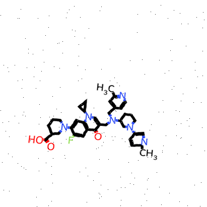 Cc1ccc(N2CCCC(N(Cc3ccnc(C)c3)Cc3cn(C4CC4)c4cc(N5CCCC(C(=O)O)C5)c(F)cc4c3=O)C2)cn1